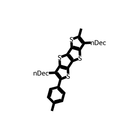 CCCCCCCCCCc1c(C)sc2c1sc1c3sc(-c4ccc(C)cc4)c(CCCCCCCCCC)c3sc21